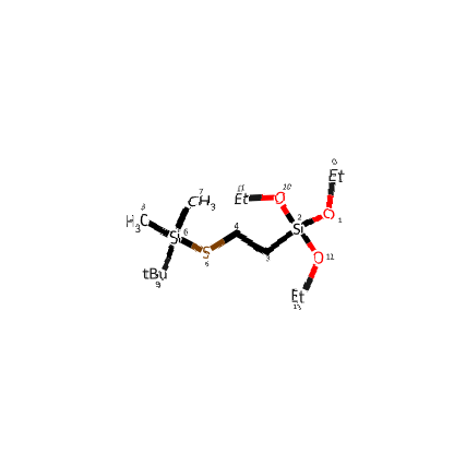 CCO[Si](CCS[Si](C)(C)C(C)(C)C)(OCC)OCC